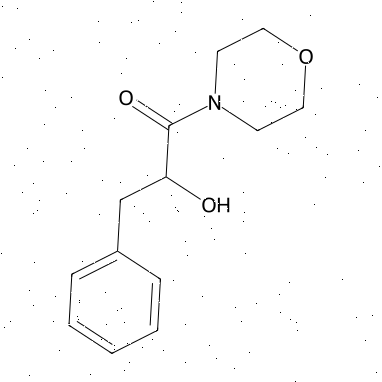 O=C(C(O)Cc1ccccc1)N1CCOCC1